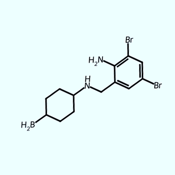 BC1CCC(NCc2cc(Br)cc(Br)c2N)CC1